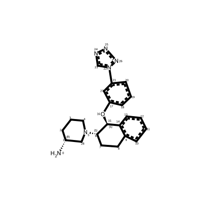 N[C@@H]1CCCN([C@H]2CCc3ccccc3[C@@H]2Oc2cccc(-n3cnnn3)c2)C1